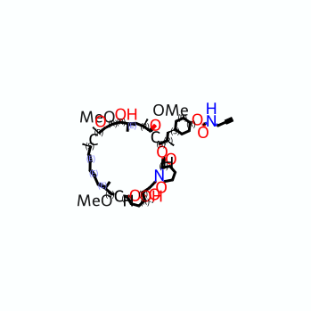 C#CCNC(=O)O[C@@H]1CC[C@@H](C[C@@H](C)[C@@H]2CC(=O)[C@H](C)/C=C(\C)[C@@H](O)[C@@H](OC)C(=O)[C@H](C)C[C@H](C)/C=C/C=C/C=C(\C)[C@@H](OC)C[C@@H]3CC[C@@H](C)[C@@](O)(O3)C(=O)C(=O)N3CCCC[C@H]3C(=O)O2)C[C@H]1OC